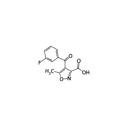 Cc1onc(C(=O)O)c1C(=O)c1cccc(F)c1